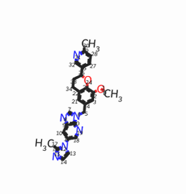 COc1cc(Cn2cnc3cc(-n4ccnc4C)cnc32)cc2c1OC(c1ccc(C)nc1)CC2